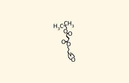 CC(C)COC(=O)/C=C/C(=O)OCCCN1CCOCC1